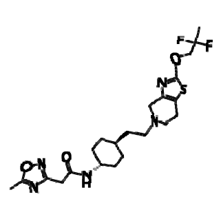 Cc1nc(CC(=O)N[C@H]2CC[C@H](CCN3CCc4sc(OCC(C)(F)F)nc4C3)CC2)no1